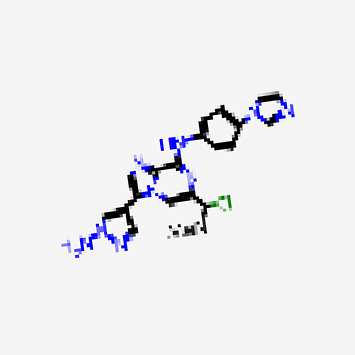 CNC(Cl)c1cn2c(-c3cnn(N)c3)cnc2c(Nc2ccc(-n3ccnc3)cc2)n1